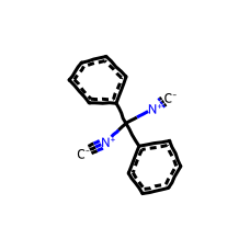 [C-]#[N+]C([N+]#[C-])(c1ccccc1)c1ccccc1